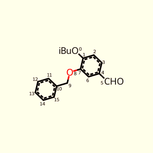 CC(C)COc1ccc(C=O)cc1OCc1ccccc1